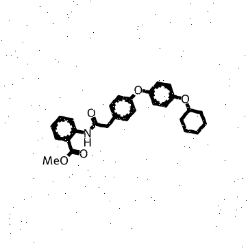 COC(=O)c1ccccc1NC(=O)Cc1ccc(Oc2ccc(OC3CCCCC3)cc2)cc1